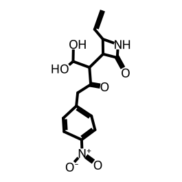 C=CC1NC(=O)C1C(C(=O)Cc1ccc([N+](=O)[O-])cc1)C(O)O